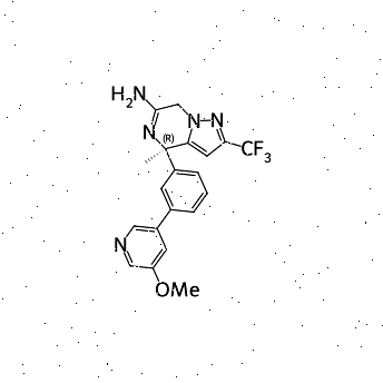 COc1cncc(-c2cccc([C@@]3(C)N=C(N)Cn4nc(C(F)(F)F)cc43)c2)c1